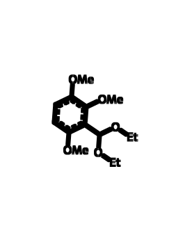 CCOC(OCC)c1c(OC)ccc(OC)c1OC